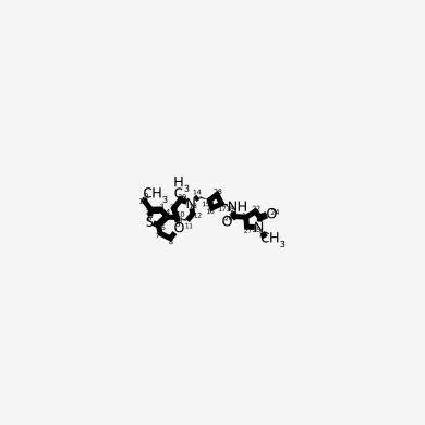 CCc1cc2c(s1)CCO[C@@]21CCN(C[C@H]2C[C@@H](NC(=O)C3CC(=O)N(C)C3)C2)[C@@H](C)C1